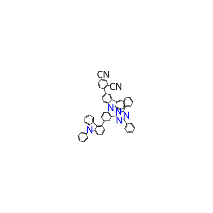 N#Cc1ccc(-c2ccc3c(c2)c2ccccc2n3-c2ccc(-c3cccc4c3c3ccccc3n4-c3ccccc3)cc2-c2nc(-c3ccccc3)nc(-c3ccccc3)n2)c(C#N)c1